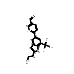 O=Cc1ccc(-c2cc(C(F)(F)F)c3oc(CCO)cc3c2)nc1